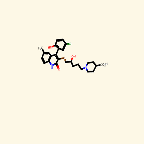 O=C(O)C1CCN(CCCC(O)CSc2c(-c3cc(Cl)ccc3O)c3cc(C(F)(F)F)ccc3[nH]c2=O)CC1